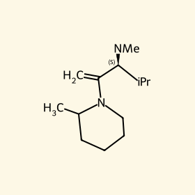 C=C([C@@H](NC)C(C)C)N1CCCCC1C